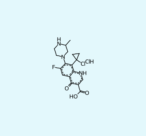 CC1CN(c2c(F)cc3c(=O)c(C(=O)O)c[nH]c3c2C2(Cl)CC2)CCN1.Cl